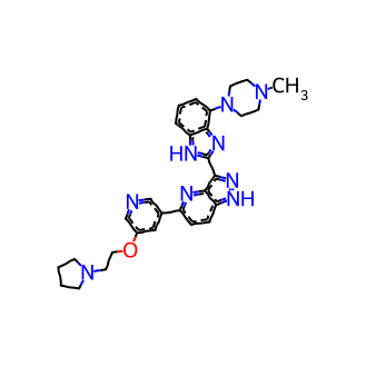 CN1CCN(c2cccc3[nH]c(-c4n[nH]c5ccc(-c6cncc(OCCN7CCCC7)c6)nc45)nc23)CC1